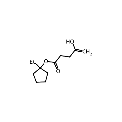 C=C(O)CCC(=O)OC1(CC)CCCC1